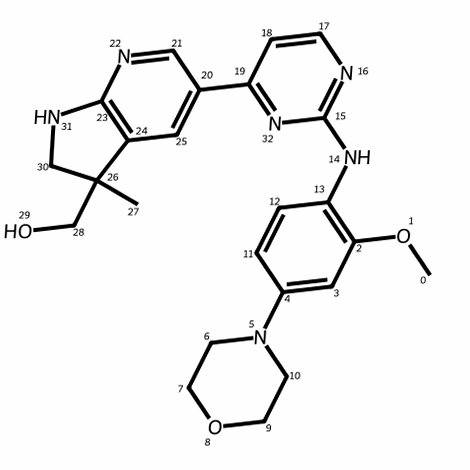 COc1cc(N2CCOCC2)ccc1Nc1nccc(-c2cnc3c(c2)C(C)(CO)CN3)n1